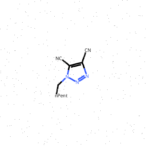 CCCCCCn1nnc(C#N)c1C#N